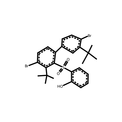 CC(C)(C)c1cc(-c2ccc(Br)c(C(C)(C)C)c2S(=O)(=O)c2ccccc2O)ccc1Br